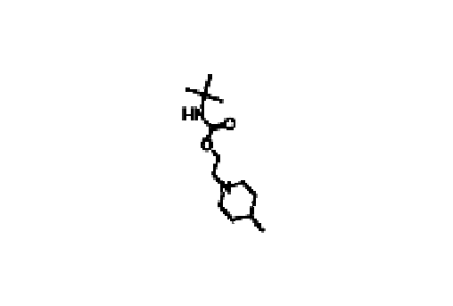 CC1CCN(CCOC(=O)NC(C)(C)C)CC1